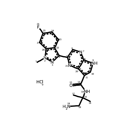 Cl.Cn1nc(-c2cnc3[nH]cc(C(=O)NC(C)(C)CN)c3n2)c2ccc(F)cc21